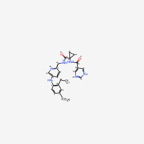 O=C(O)c1ccc(Nc2ccc(CNC(=O)C3(NC(=O)c4cncnc4)CC3)nc2)c(CC(F)(F)F)c1